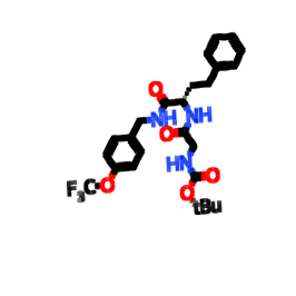 CC(C)(C)OC(=O)NCC(=O)N[C@@H](CCc1ccccc1)C(=O)NCc1ccc(OC(F)(F)F)cc1